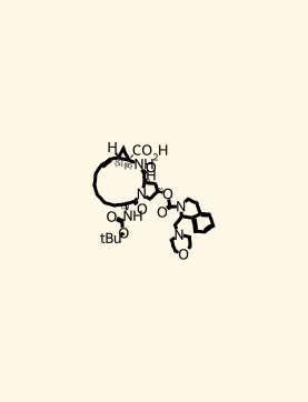 CC(C)(C)OC(=O)N[C@H]1CCCCCC=C[C@@H]2C[C@@]2(C(=O)O)NC(=O)[C@@H]2C[C@@H](OC(=O)N3CCc4ccccc4C3CN3CCOCC3)CN2C1=O